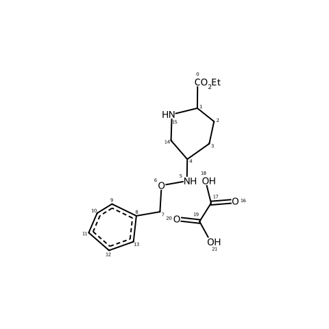 CCOC(=O)C1CCC(NOCc2ccccc2)CN1.O=C(O)C(=O)O